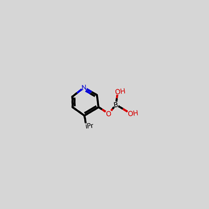 CC(C)c1ccncc1OB(O)O